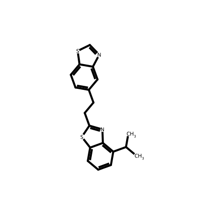 CC(C)c1cccc2sc(CCc3ccc4scnc4c3)nc12